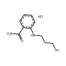 Cl.NC(=O)c1ccccc1NCCCO